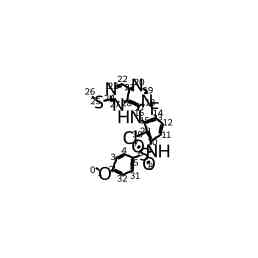 COc1ccc(S(=O)(=O)Nc2ccc(F)c(Nc3ncnc4cnc(SC)nc34)c2Cl)cc1